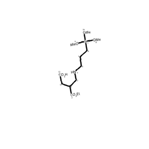 CCOC(=O)C(CNCCC[Si](OC)(OC)OC)CC(=O)O